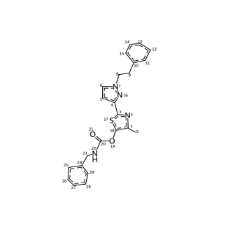 Cc1nc(-c2ccn(CCc3ccccc3)n2)sc1OC(=O)NCc1ccccc1